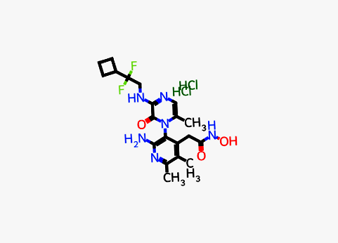 Cc1nc(N)c(-n2c(C)cnc(NCC(F)(F)C3CCC3)c2=O)c(CC(=O)NO)c1C.Cl.Cl